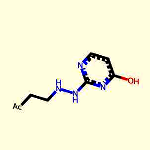 CC(=O)CCNNc1nccc(O)n1